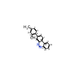 Cc1ccc(-c2ccc3c(c2)nnc2ccccc23)c(C)c1